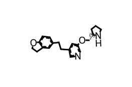 c1cc2c(cc1CCc1cncc(OC[C@@H]3CCCN3)c1)CCO2